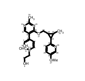 C/C=C(\C=C/N(C=O)CCO)c1cnc(C)nc1OCC1C(C)C1c1ccc(OC)cn1